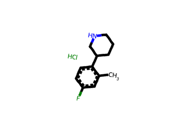 Cc1cc(F)ccc1C1CCCNC1.Cl